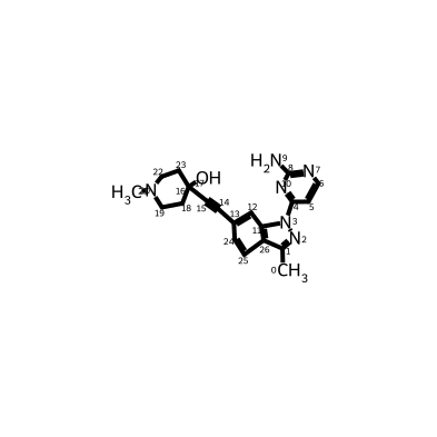 Cc1nn(-c2ccnc(N)n2)c2cc(C#CC3(O)CCN(C)CC3)ccc12